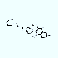 COc1c(-c2ccc(OCCCN3CCCCC3)cc2)n(C)c2ccc(F)cc2c1=O